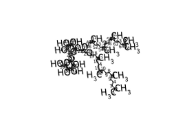 CC(C)CCC[C@@H](C)CCC[C@H](C)CCC[C@H](C)CCOC[C@@H](CO[C@H]1O[C@H](CO[C@@H]2O[C@H](CO)[C@@H](O)[C@H](O)[C@H]2O)[C@@H](O)[C@H](O)[C@H]1O)OCC[C@@H](C)CCC[C@@H](C)CCC[C@H](C)CCCC(C)C